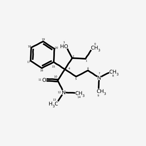 CCC(O)C(CCN(C)C)(C(=O)N(C)C)c1ccccc1